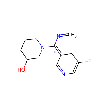 C=N/C(=C1/C=NC=C(F)C1)N1CCCC(O)C1